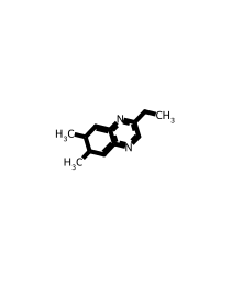 CCc1cnc2c(n1)=CC(C)C(C)C=2